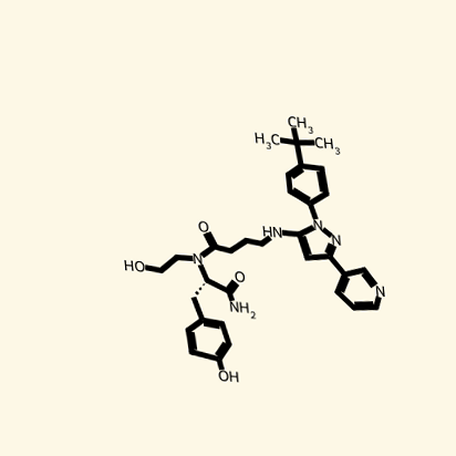 CC(C)(C)c1ccc(-n2nc(-c3cccnc3)cc2NCCCC(=O)N(CCO)[C@@H](Cc2ccc(O)cc2)C(N)=O)cc1